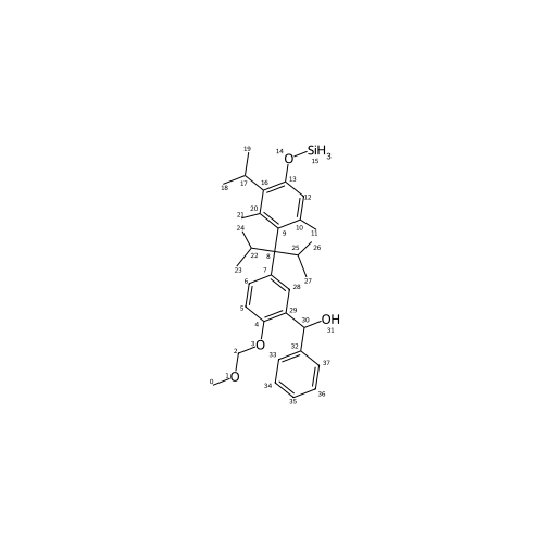 COCOc1ccc(C(c2c(C)cc(O[SiH3])c(C(C)C)c2C)(C(C)C)C(C)C)cc1C(O)c1ccccc1